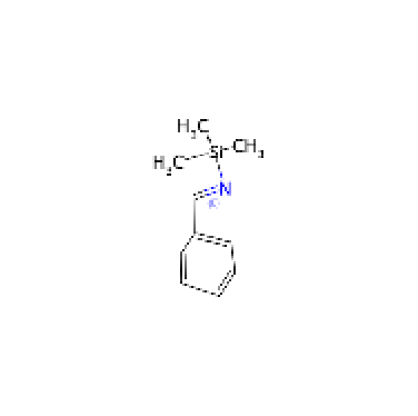 C[Si](C)(C)/N=C/c1ccccc1